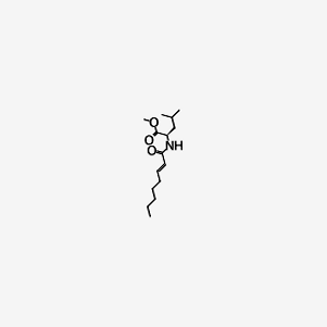 CCCCCC=CC(=O)N[C@H](CC(C)C)C(=O)OC